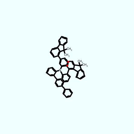 CC1(C)c2ccccc2-c2c(-c3ccccc3N(c3cccc(-c4cccc5c4C(C)(C)c4ccccc4-5)c3)c3ccccc3-c3ccc(-c4ccccc4)cc3)cccc21